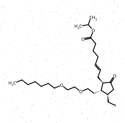 CCCCCCCOCCOCC[C@H]1[C@H](CI)CC(=O)[C@@H]1CC=CCCCC(=O)OC(C)C